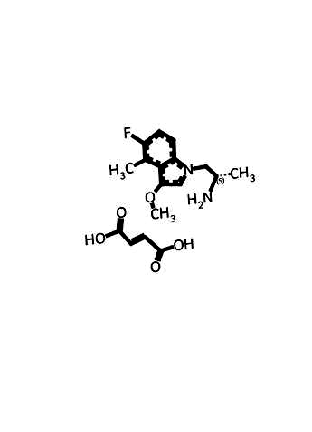 COc1cn(C[C@H](C)N)c2ccc(F)c(C)c12.O=C(O)C=CC(=O)O